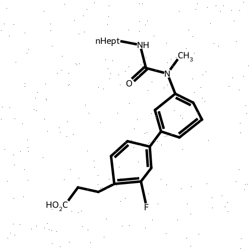 CCCCCCCNC(=O)N(C)c1cccc(-c2ccc(CCC(=O)O)c(F)c2)c1